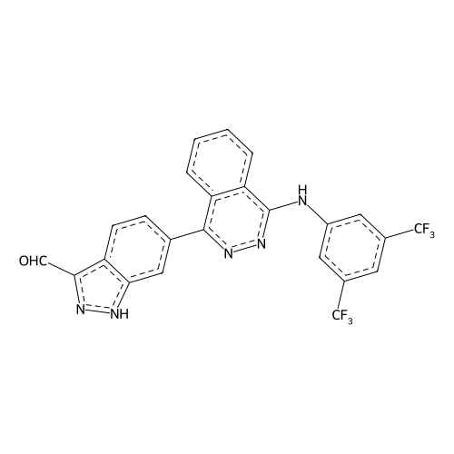 O=Cc1n[nH]c2cc(-c3nnc(Nc4cc(C(F)(F)F)cc(C(F)(F)F)c4)c4ccccc34)ccc12